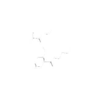 CCCCOC(=O)C(CC(=O)O)=C(C)OC.CCOC(=O)C(C)O